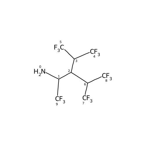 NC(C(C(C(F)(F)F)C(F)(F)F)C(C(F)(F)F)C(F)(F)F)C(F)(F)F